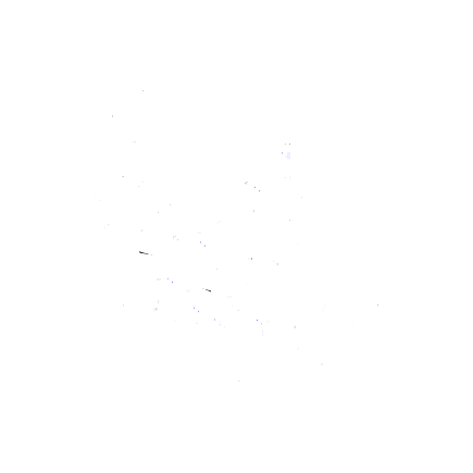 C=CCN(C(=O)NCc1ccc(Cl)c(Cl)c1)N1CC(=O)N2[C@@H](Cc3ccc(OCCO)cc3)C(=O)N(Cc3cccc4sc(N)nc34)C[C@@H]21